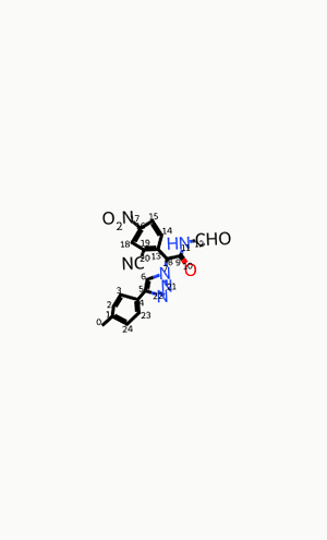 Cc1ccc(-c2cn(C(C(=O)NC=O)c3ccc([N+](=O)[O-])cc3C#N)nn2)cc1